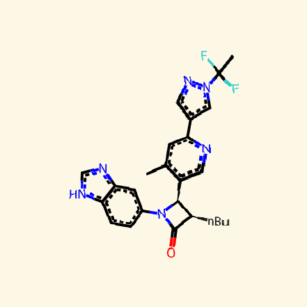 CCCC[C@H]1C(=O)N(c2ccc3[nH]cnc3c2)[C@H]1c1cnc(-c2cnn(C(C)(F)F)c2)cc1C